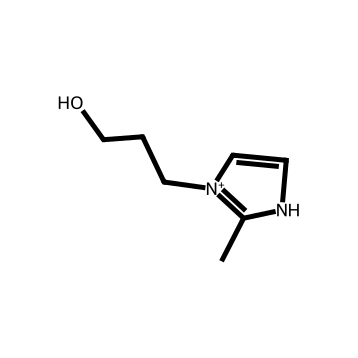 Cc1[nH]cc[n+]1CCCO